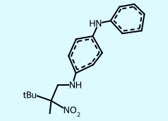 CC(C)(C)C(C)(CNc1ccc(Nc2ccccc2)cc1)[N+](=O)[O-]